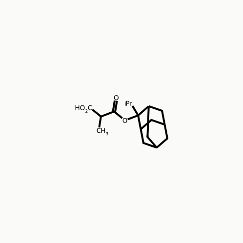 CC(C(=O)O)C(=O)OC1(C(C)C)C2CC3CC(C2)CC1C3